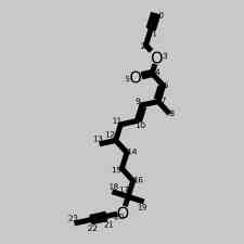 C#CCOC(=O)C=C(C)C=CCC(C)CCCC(C)(C)OC#CC